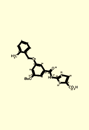 Cc1ccccc1COc1cc(OCC(C)C)cc(C(=O)Nc2ncc(C(=O)O)s2)c1